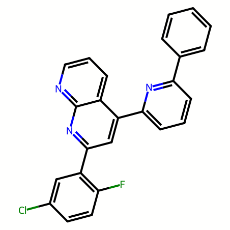 Fc1ccc(Cl)cc1-c1cc(-c2cccc(-c3ccccc3)n2)c2cccnc2n1